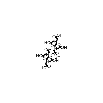 CO.O=C(O)CN(CCN(CC(=O)O)CC(=O)O)CC(=O)O.O=C(O)CN(CCN(CC(=O)O)CC(=O)O)CC(=O)O